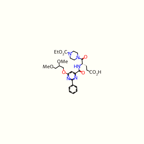 CCOC(=O)N1CCN(C(=O)[C@H](CCC(=O)O)NC(=O)c2cc(OC[C@@H](COC)OC)nc(-c3ccccc3)n2)CC1